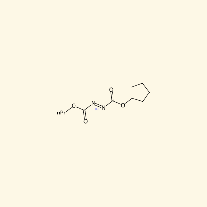 CCCOC(=O)/N=N/C(=O)OC1CCCC1